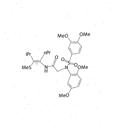 CCC/C(NC(=O)CN(c1cc(OC)ccc1OC)S(=O)(=O)c1ccc(OC)c(OC)c1)=C(/SC)C(C)C